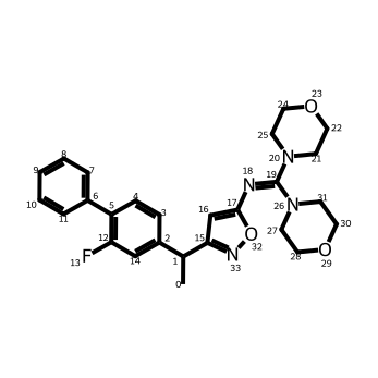 CC(c1ccc(-c2ccccc2)c(F)c1)c1cc(N=C(N2CCOCC2)N2CCOCC2)on1